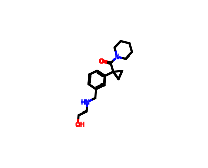 O=C(N1CCCCC1)C1(c2cccc(CNCCO)c2)CC1